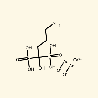 CC(=O)[O-].CC(=O)[O-].NCCCC(O)(P(=O)(O)O)P(=O)(O)O.[Ca+2]